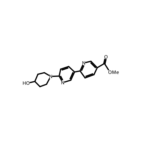 COC(=O)c1ccc(-c2ccc(N3CCC(O)CC3)nc2)nc1